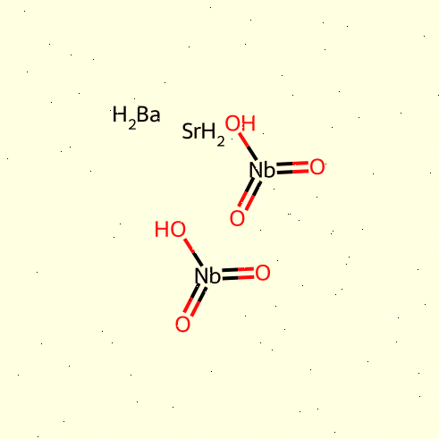 [BaH2].[O]=[Nb](=[O])[OH].[O]=[Nb](=[O])[OH].[SrH2]